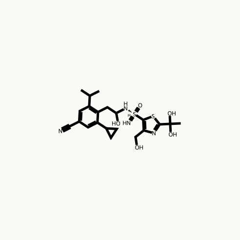 CC(C)c1cc(C#N)cc(C2CC2)c1CC(O)N[S@](=N)(=O)c1sc(C(C)(O)O)nc1CO